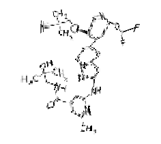 Cc1cc(C(=O)NCC(C)(C)O)cc(Nc2cc3cc(-c4cc(OC(F)F)ncc4OCC(C)(C)C#N)ccn3n2)n1